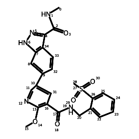 CNC(=O)c1n[nH]c2cc(-c3cnc(OC)c(C(=O)NCc4ccccc4S(C)(=O)=O)c3)ccc12